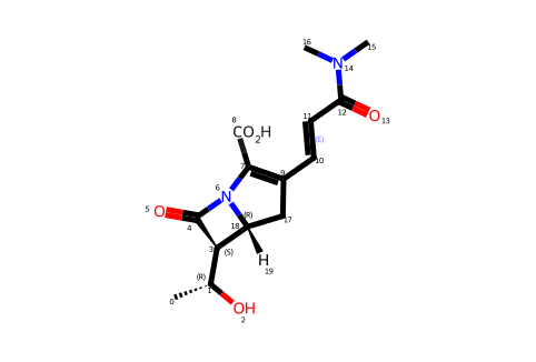 C[C@@H](O)[C@H]1C(=O)N2C(C(=O)O)=C(/C=C/C(=O)N(C)C)C[C@H]12